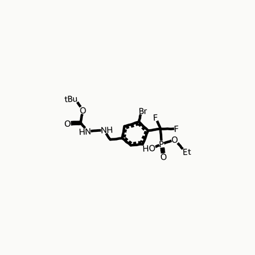 CCOP(=O)(O)C(F)(F)c1ccc(CNNC(=O)OC(C)(C)C)cc1Br